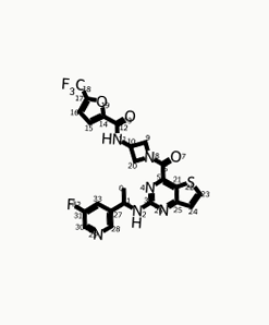 CC(Nc1nc(C(=O)N2CC(NC(=O)c3ccc(C(F)(F)F)o3)C2)c2sccc2n1)c1cncc(F)c1